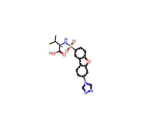 CC(C)[C@@H](NS(=O)(=O)c1ccc2oc3cc(-n4cnnc4)ccc3c2c1)C(=O)O